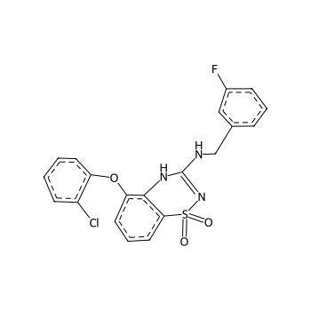 O=S1(=O)N=C(NCc2cccc(F)c2)Nc2c(Oc3ccccc3Cl)cccc21